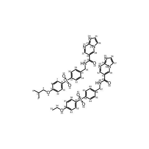 CC(C)COc1ccc(S(=O)(=O)c2ccc(CNC(=O)c3cnc4nccn4c3)cc2)cc1.CCOc1ccc(S(=O)(=O)c2ccc(CNC(=O)c3cnc4nccn4c3)cc2)cc1